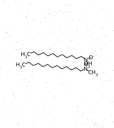 CCCCCCCCCCCCCN(C)O.CCCCCCCCCCCC[NH2+][O-]